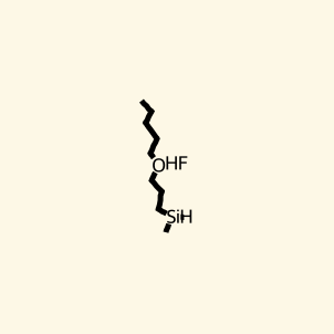 CCCCCOCCC[SiH](C)C.F